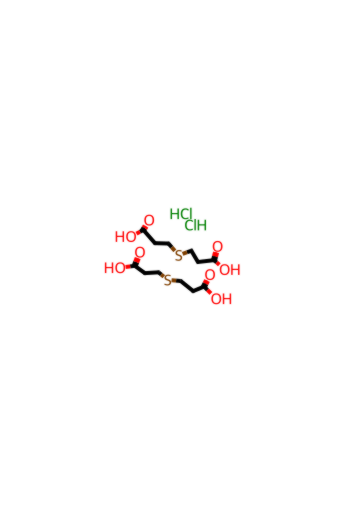 Cl.Cl.O=C(O)CCSCCC(=O)O.O=C(O)CCSCCC(=O)O